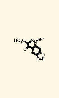 CCCn1nc(C(=O)O)c(=O)c2cc3c(cc21)OCO3